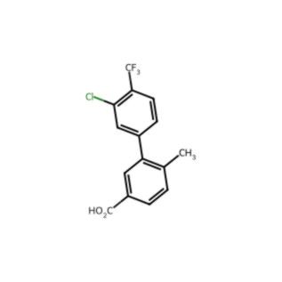 Cc1ccc(C(=O)O)cc1-c1ccc(C(F)(F)F)c(Cl)c1